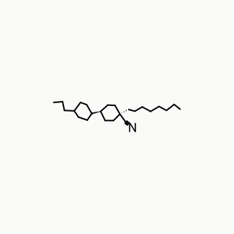 CCCCCCCC[C@]1(C#N)CC[C@@H](C2CCC(CCC)CC2)CC1